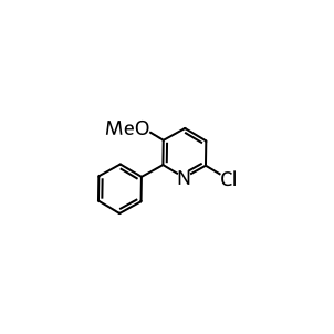 COc1ccc(Cl)nc1-c1ccccc1